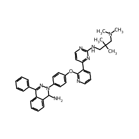 CN(C)CC(C)(C)CNc1nccc(-c2cccnc2Oc2ccc(N3N=C(c4ccccc4)c4ccccc4C3N)cc2)n1